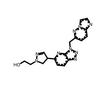 OCCN1CC(c2ccc3nnn(Cc4ccc5nccn5n4)c3n2)C=N1